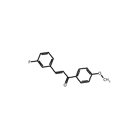 COc1ccc(C(=O)C=Cc2cccc(F)c2)cc1